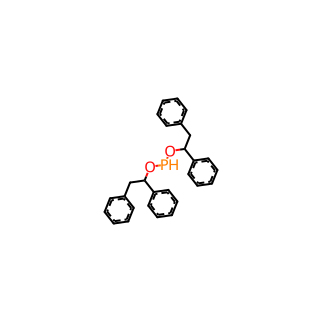 c1ccc(CC(OPOC(Cc2ccccc2)c2ccccc2)c2ccccc2)cc1